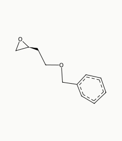 c1ccc(COCC[C@H]2CO2)cc1